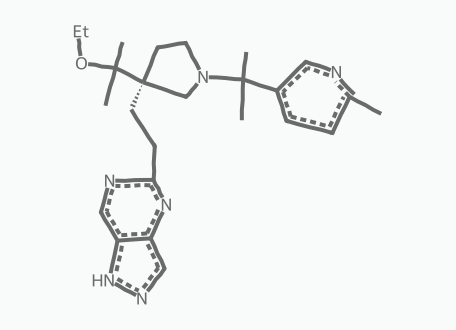 CCOC(C)(C)[C@@]1(CCc2ncc3[nH]ncc3n2)CCN(C(C)(C)c2ccc(C)nc2)C1